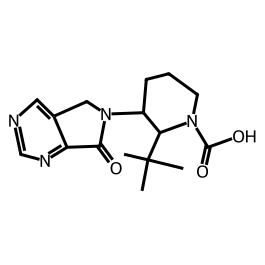 CC(C)(C)C1C(N2Cc3cncnc3C2=O)CCCN1C(=O)O